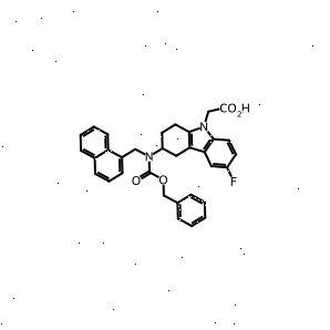 O=C(O)Cn1c2c(c3cc(F)ccc31)CC(N(Cc1cccc3ccccc13)C(=O)OCc1ccccc1)CC2